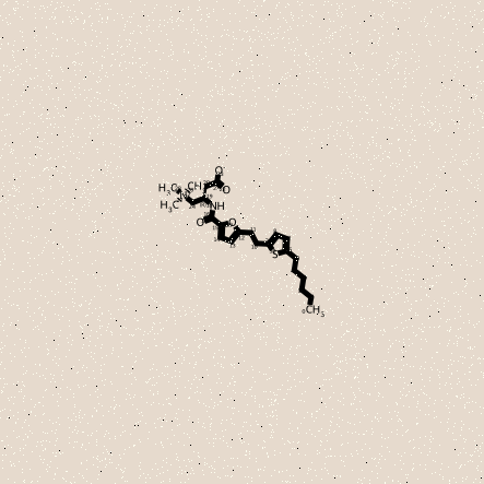 CCCCCCc1ccc(CCc2ccc(C(=O)N[C@H](CC(=O)[O-])C[N+](C)(C)C)o2)s1